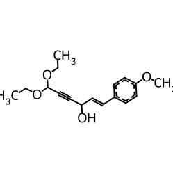 CCOC(C#CC(O)C=Cc1ccc(OC)cc1)OCC